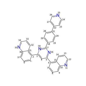 c1cc(-c2cc(-c3cccc4ncccc34)nc(-c3ccc(-c4ccncc4)cc3)n2)c2cccnc2c1